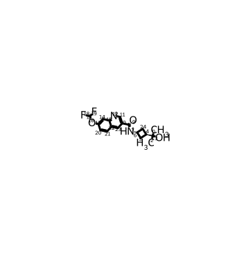 CC(C)(O)[C@H]1C[C@H](NC(=O)c2cnc3cc(OC(F)F)ccc3c2)C1